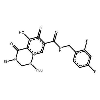 CCCCN1CN(CC)C(=O)c2c(O)c(=O)c(C(=O)NCc3ccc(F)cc3F)cn21